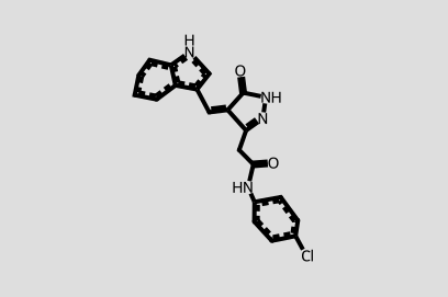 O=C(CC1=NNC(=O)/C1=C\c1c[nH]c2ccccc12)Nc1ccc(Cl)cc1